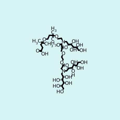 CC(C)(CCOC(C)(C)CCC(=O)O)OCCN(C[C@H](O)[C@@H](O)[C@H](O)[C@H](O)CO)C(=O)CCOCCOCCN(C[C@H](O)[C@@H](O)[C@H](O)[C@H](O)CO)C[C@H](O)[C@@H](O)[C@H](O)[C@H](O)CO